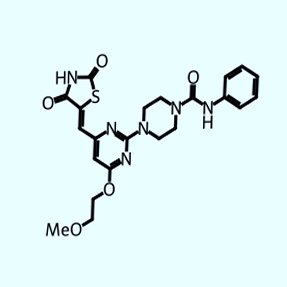 COCCOc1cc(/C=C2\SC(=O)NC2=O)nc(N2CCN(C(=O)Nc3ccccc3)CC2)n1